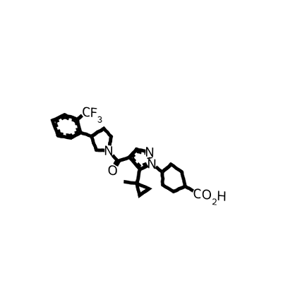 CC1(c2c(C(=O)N3CCC(c4ccccc4C(F)(F)F)C3)cnn2C2CCC(C(=O)O)CC2)CC1